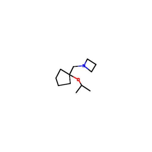 CC(C)OC1(CN2CCC2)CCCC1